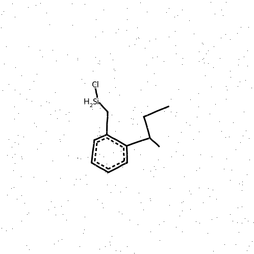 CCC(C)c1ccccc1C[SiH2]Cl